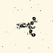 CC(C)CC(C)N(CC(CN(c1ccc(Nc2ccccc2)cc1)C(C)CC(C)C)OCCCc1cc(C(C)(C)C)c(O)c(C(C)(C)C)c1)c1ccc(Nc2ccccc2)cc1